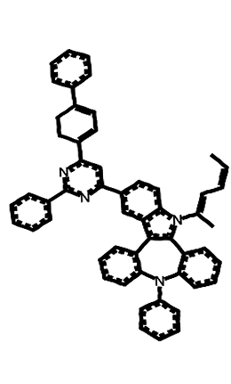 C/C=C\C=C(/C)n1c2c(c3cc(-c4cc(C5=CC=C(c6ccccc6)CC5)nc(-c5ccccc5)n4)ccc31)-c1ccccc1N(c1ccccc1)c1ccccc1-2